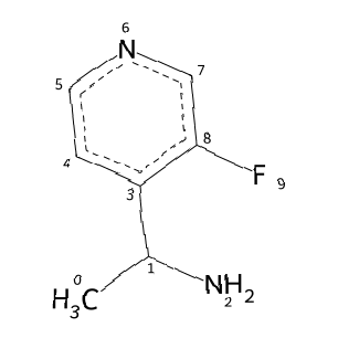 CC(N)c1ccncc1F